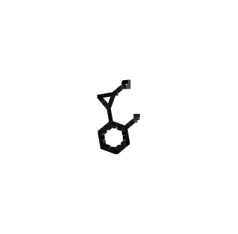 Fc1ccccc1C1C[C]1Cl